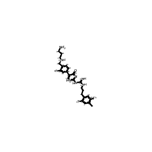 Cc1cc(F)c(CCCNC(=N)Nc2nc(=O)c(-c3ccc(CNCCCN)c(F)c3)c[nH]2)cc1F